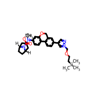 CN(c1ccc2c(c1)OCc1cc(-c3cnn(COCC[Si](C)(C)C)c3)ccc1-2)[C@@H]1C[C@H]2CC[C@@H](C1)N2C(=O)OC(C)(C)C